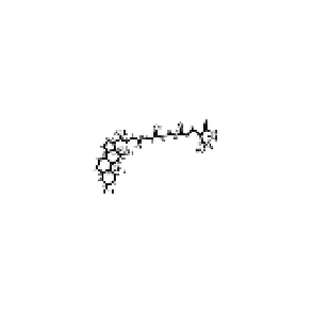 CC(CCC(=O)NCC(=O)OCOC(=O)CCC(CP(=O)(O)O)C(=O)O)C1CCC2C3CCC4C[C@H](O)CC[C@]4(C)C3C[C@H](O)[C@]12C